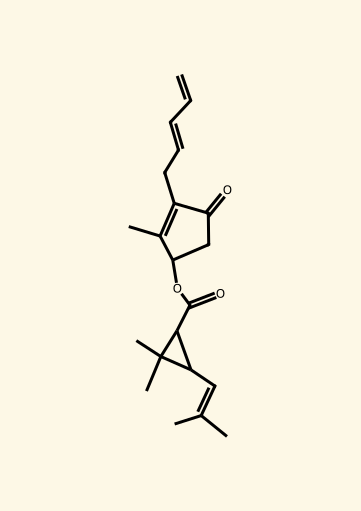 C=CC=CCC1=C(C)C(OC(=O)C2C(C=C(C)C)C2(C)C)CC1=O